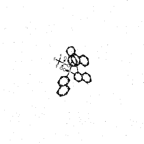 O=P(c1ccc2ccccc2c1)(c1ccc2ccccc2c1)c1ccc2ccccc2c1-c1c(OS(=O)(=O)C(F)(F)F)ccc2ccccc12